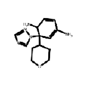 NC1=CC(C2CCOCC2)(n2cncn2)C(N)C=C1